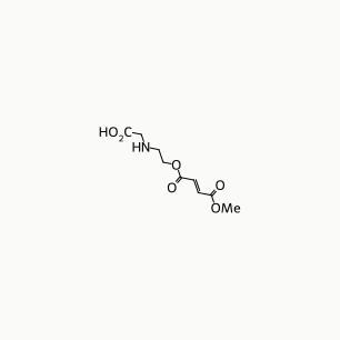 COC(=O)/C=C/C(=O)OCCNCC(=O)O